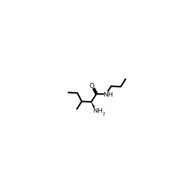 CCCNC(=O)[C@@H](N)C(C)CC